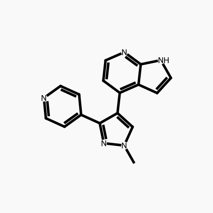 Cn1cc(-c2ccnc3[nH]ccc23)c(-c2ccncc2)n1